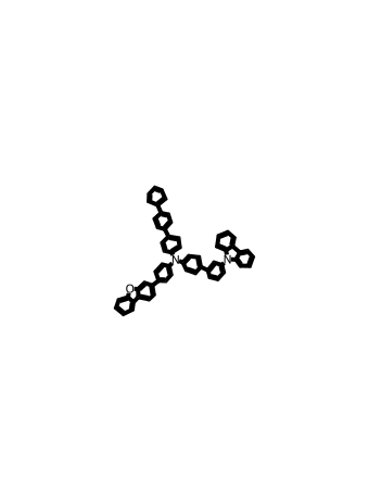 c1ccc(-c2ccc(-c3ccc(N(c4ccc(-c5cccc(-n6c7ccccc7c7ccccc76)c5)cc4)c4ccc(-c5ccc6c(c5)oc5ccccc56)cc4)cc3)cc2)cc1